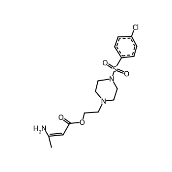 CC(N)=CC(=O)OCCN1CCN(S(=O)(=O)c2ccc(Cl)cc2)CC1